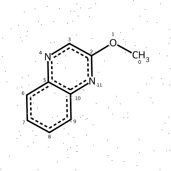 COc1cnc2ccc[c]c2n1